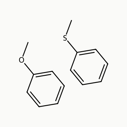 COc1ccccc1.CSc1ccccc1